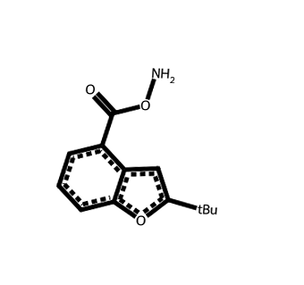 CC(C)(C)c1cc2c(C(=O)ON)cccc2o1